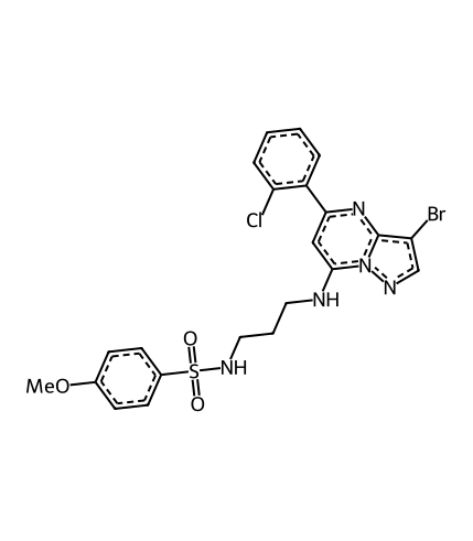 COc1ccc(S(=O)(=O)NCCCNc2cc(-c3ccccc3Cl)nc3c(Br)cnn23)cc1